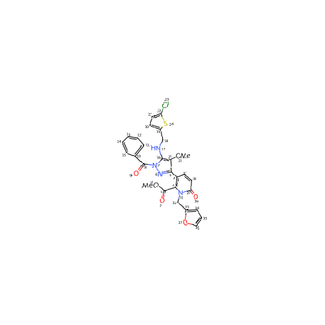 COC(=O)c1c(-c2nn(C(=O)c3ccccc3)c(NCc3ccc(Cl)s3)c2OC)ccc(=O)n1Cc1ccco1